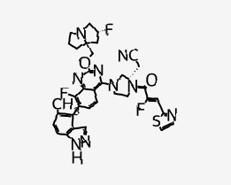 Cc1ccc2[nH]ncc2c1-c1ccc2c(N3CCN(C(=O)/C(F)=C/c4nccs4)[C@@H](CC#N)C3)nc(OC[C@@]34CCCN3C[C@H](F)C4)nc2c1F